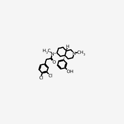 CN1CC[C@@]2(c3cccc(O)c3)C[C@H](N(C)C(=O)Cc3ccc(Cl)c(Cl)c3)CC[C@@H]2C1